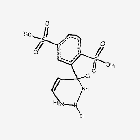 O=S(=O)(O)c1ccc(S(=O)(=O)O)c(C2(Cl)C=CNN(Cl)N2)c1